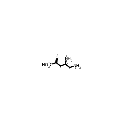 NCC(N)CC(=O)C(=O)O